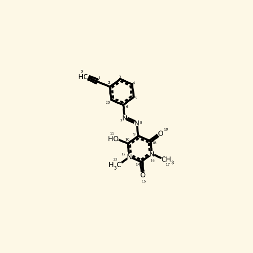 C#Cc1cccc(/N=N/c2c(O)n(C)c(=O)n(C)c2=O)c1